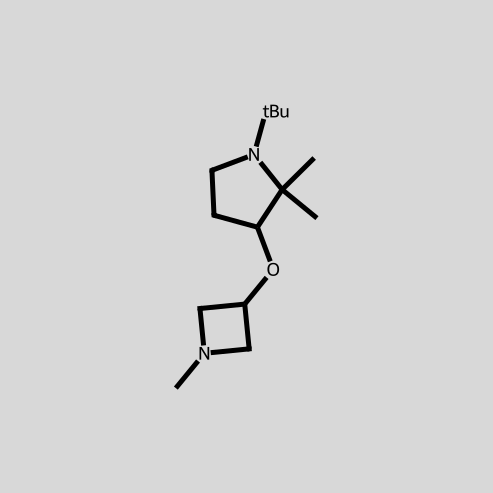 CN1CC(OC2CCN(C(C)(C)C)C2(C)C)C1